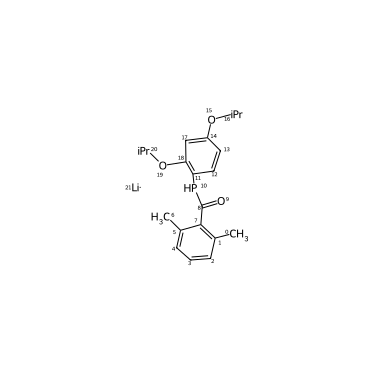 Cc1cccc(C)c1C(=O)Pc1ccc(OC(C)C)cc1OC(C)C.[Li]